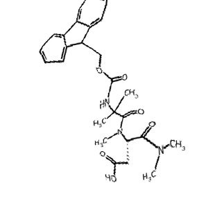 CN(C)C(=O)[C@H](CC(=O)O)N(C)C(=O)C(C)(C)NC(=O)OCC1c2ccccc2-c2ccccc21